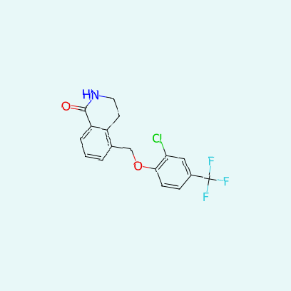 O=C1NCCc2c(COc3ccc(C(F)(F)F)cc3Cl)cccc21